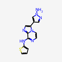 Nn1cc(-c2cnc3c(Nc4cccs4)nccn23)cn1